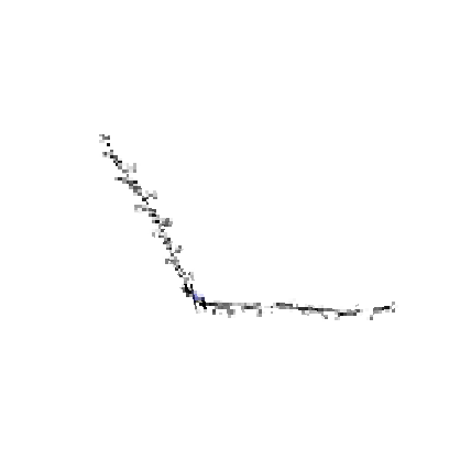 C#CC#CC#CC#CC#CC#C/N=B/C#CC#CC#CC#CC#CC